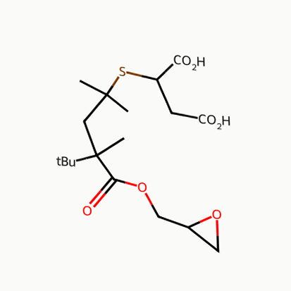 CC(C)(CC(C)(C(=O)OCC1CO1)C(C)(C)C)SC(CC(=O)O)C(=O)O